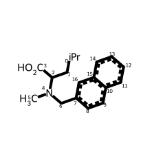 CC(C)CC(C(=O)O)N(C)Cc1ccc2ccccc2c1